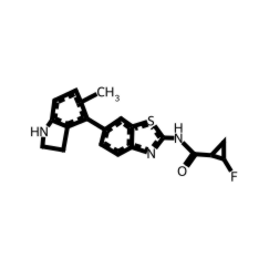 Cc1ccc2c(c1-c1ccc3nc(NC(=O)C4CC4F)sc3c1)CCN2